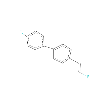 FC=Cc1ccc(-c2ccc(F)cc2)cc1